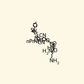 CCCNc1nc(SCc2csc(-c3ccc(C)cc3)n2)c(C#N)c(-c2ccc(OCCOC(=O)[C@H](C)NC(=O)[C@@H](N)CCCCN)cc2)c1C#N